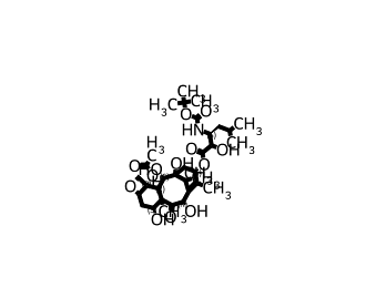 CC(=O)O[C@@]12COC1C[C@H](O)C1(C)C(=O)[C@H](O)C3=C(C)[C@@H](OC(=O)C(O)[C@H](CC(C)C)NC(=O)OC(C)(C)C)CC(O)([C@@H](O)[C@@H]12)C3(C)C